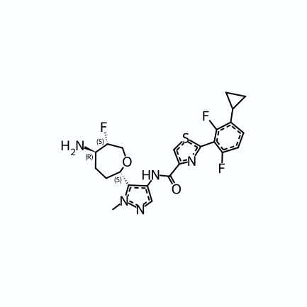 Cn1ncc(NC(=O)c2csc(-c3c(F)ccc(C4CC4)c3F)n2)c1[C@@H]1CC[C@@H](N)[C@H](F)CO1